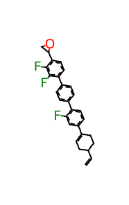 C=CC1CC=C(c2ccc(-c3ccc(-c4ccc(C5CO5)c(F)c4F)cc3)c(F)c2)CC1